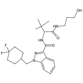 CC(C)(C)C(NC(=O)c1nn(CC2CCC(F)(F)CC2)c2ccccc12)C(=O)NCCCO